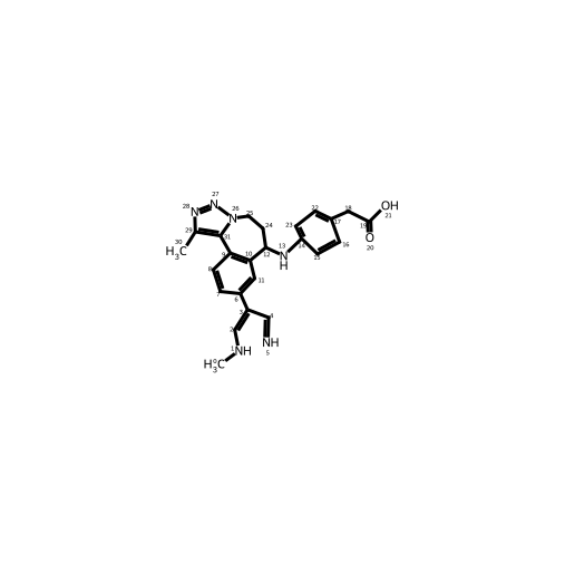 CN/C=C(\C=N)c1ccc2c(c1)C(Nc1ccc(CC(=O)O)cc1)CCn1nnc(C)c1-2